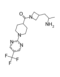 CC(N)CC1CN(C(=O)C2CCN(c3ncc(C(F)(F)F)cn3)CC2)C1